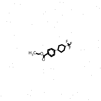 CCOC(=O)c1ccc([C@H]2CC[C@@H](C(F)(F)F)CC2)cc1